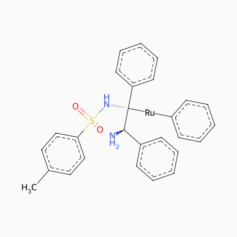 Cc1ccc(S(=O)(=O)N[C@@]([Ru][c]2ccccc2)(c2ccccc2)[C@H](N)c2ccccc2)cc1